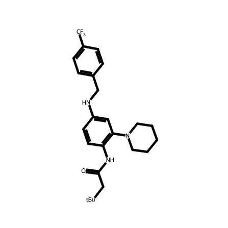 CC(C)(C)CC(=O)Nc1ccc(NCc2ccc(C(F)(F)F)cc2)cc1N1CCCCC1